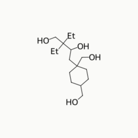 CCC(CC)(CO)C(O)CC1(CO)CCC(CO)CC1